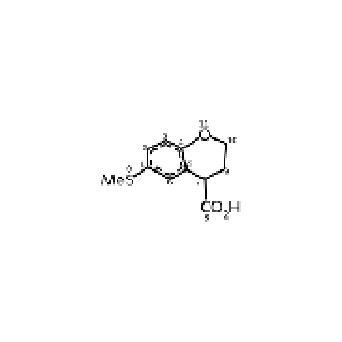 CSc1ccc2c(c1)C(C(=O)O)CCO2